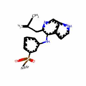 C=C(C)Cc1ncc2[nH]ccc2c1Nc1cccc(S(=O)(=O)NC)c1